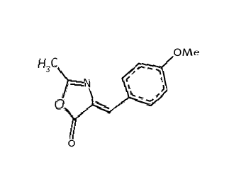 COc1ccc(/C=C2\N=C(C)OC2=O)cc1